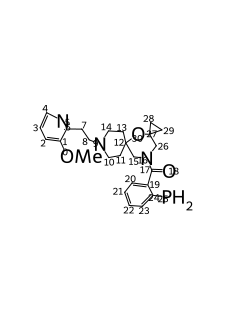 COc1cccnc1CCN1CCC2(CC1)CN(C(=O)c1ccccc1P)CC1(CC1)O2